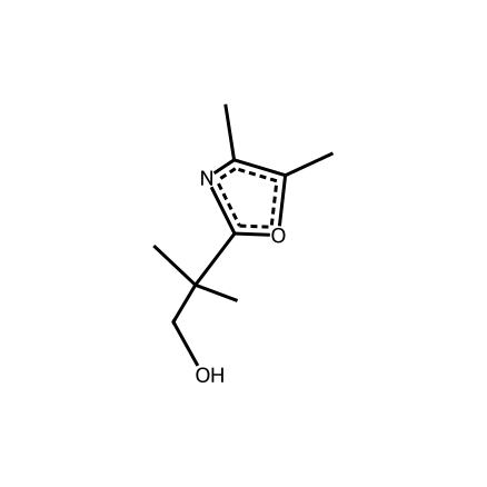 Cc1nc(C(C)(C)CO)oc1C